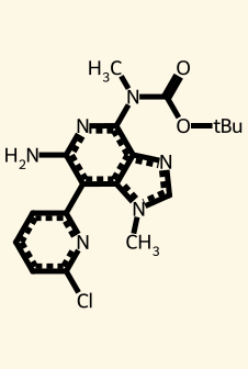 CN(C(=O)OC(C)(C)C)c1nc(N)c(-c2cccc(Cl)n2)c2c1ncn2C